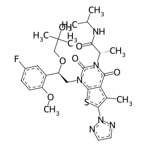 COc1ccc(F)cc1[C@H](Cn1c(=O)n([C@@H](C)C(=O)NC(C)C)c(=O)c2c(C)c(-n3nccn3)sc21)OCC(C)(C)O